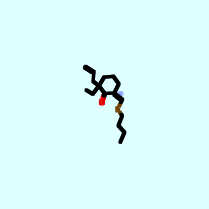 C=CCC1(CC)CCC/C(=C/SCCCC)C1=O